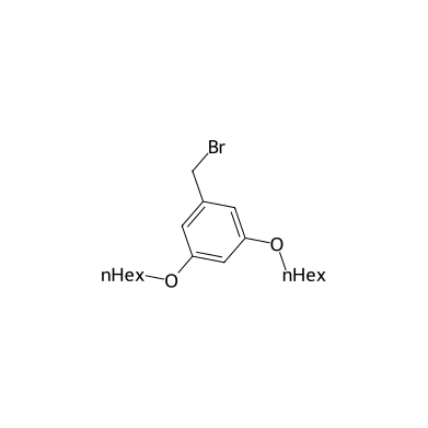 CCCCCCOc1cc(CBr)cc(OCCCCCC)c1